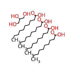 CCCCCCCCCC(=O)O.CCCCCCCCCC(=O)O.CCCCCCCCCC(=O)O.CCCCCCCCCC(=O)O.OCC(O)CO